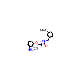 COc1cccc(CNC(=O)C(C)(C)COc2cccc(N)c2C#N)c1